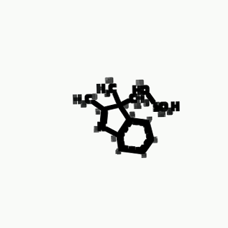 CC1=Nc2ccccc2C1(C)C.O=S(=O)(O)O